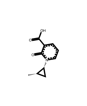 C[C@H]1C[C@H]1n1cccc(C(=O)O)c1=O